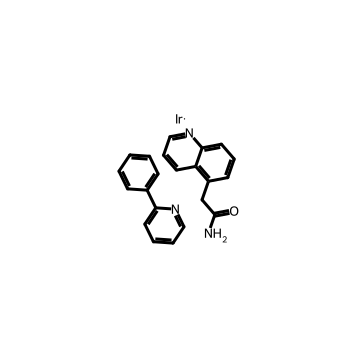 NC(=O)Cc1cccc2ncccc12.[Ir].c1ccc(-c2ccccn2)cc1